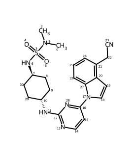 CN(C)S(=O)(=O)N[C@H]1CC[C@H](Nc2nccc(-n3ccc4c(CC#N)cccc43)n2)CC1